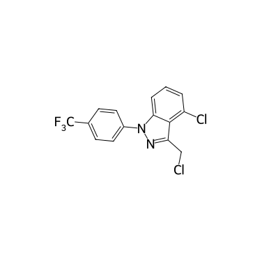 FC(F)(F)c1ccc(-n2nc(CCl)c3c(Cl)cccc32)cc1